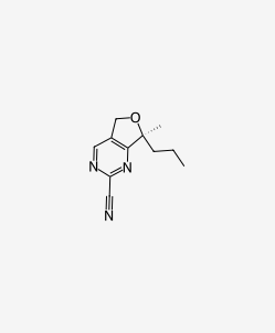 CCC[C@]1(C)OCc2cnc(C#N)nc21